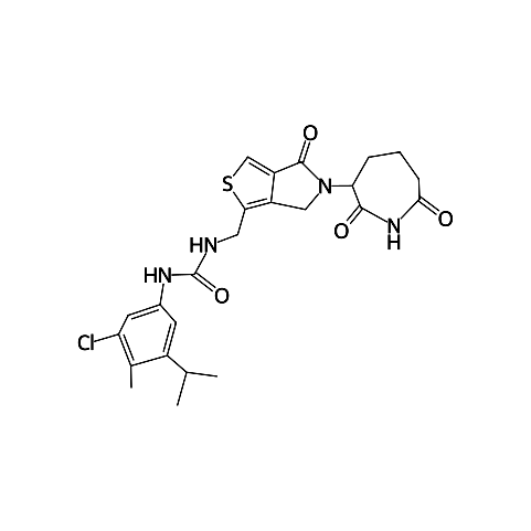 Cc1c(Cl)cc(NC(=O)NCc2scc3c2CN(C2CCCC(=O)NC2=O)C3=O)cc1C(C)C